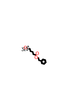 C[Si](C)(C)O[Si](C)(C)CCCCC(=O)OCCc1ccccc1